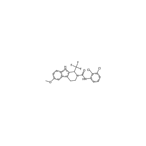 COc1ccc2[nH]c3c(c2c1)CCN(C(=O)Nc1cccc(Cl)c1Cl)C3C(F)(F)F